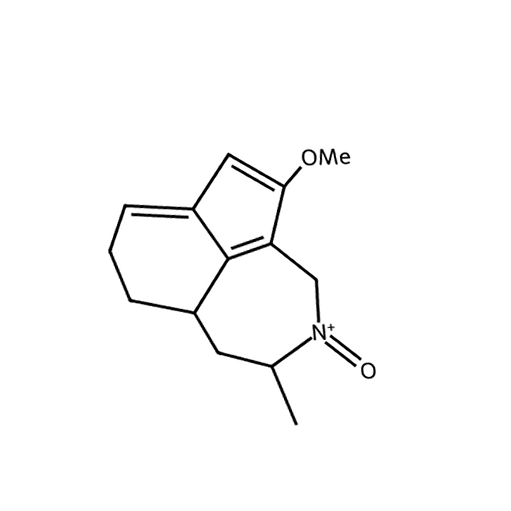 COC1=CC2=CCCC3CC(C)[N+](=O)CC1=C23